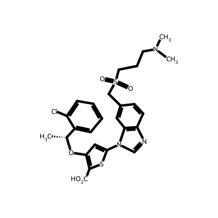 C[C@@H](Oc1cc(-n2cnc3ccc(CS(=O)(=O)CCCN(C)C)cc32)sc1C(=O)O)c1ccccc1Cl